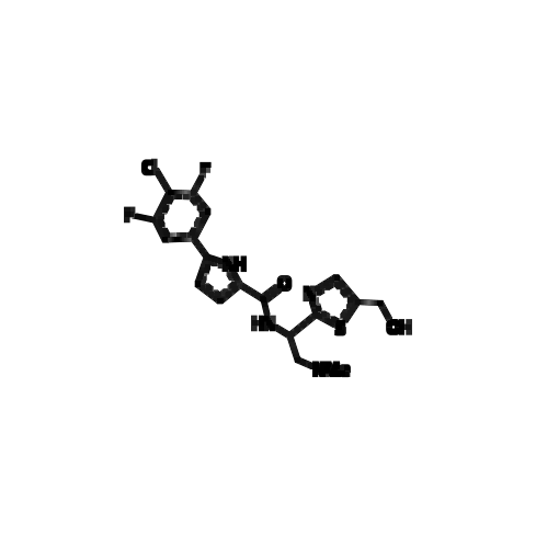 CNCC(NC(=O)c1ccc(-c2cc(F)c(Cl)c(F)c2)[nH]1)c1ncc(CO)s1